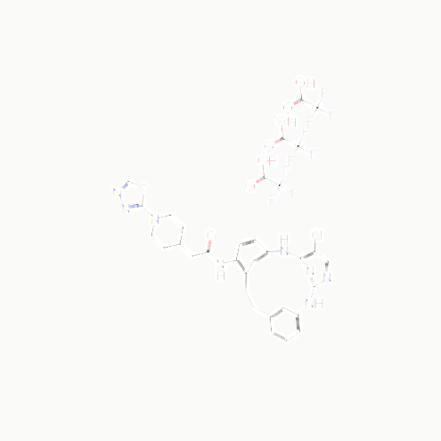 O=C(CC1CCN(c2nncs2)CC1)Nc1ccc2cc1CCc1cccc(c1)Nc1ncc(Cl)c(n1)N2.O=C(O)C(F)(F)F.O=C(O)C(F)(F)F.O=C(O)C(F)(F)F